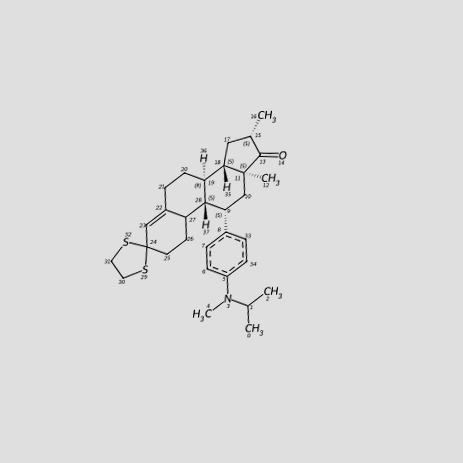 CC(C)N(C)c1ccc([C@H]2C[C@]3(C)C(=O)[C@@H](C)C[C@H]3[C@@H]3CCC4=CC5(CCC4[C@H]32)SCCS5)cc1